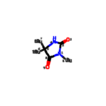 CC(C)(C)N1C(=O)NC(C(C)(C)C)(C(C)(C)C)C1=O